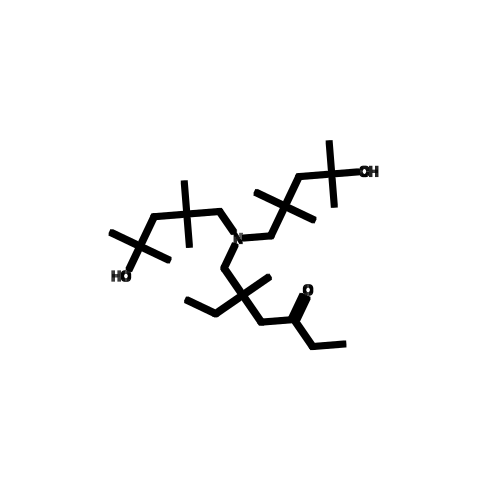 CCC(=O)CC(C)(CC)CN(CC(C)(C)CC(C)(C)O)CC(C)(C)CC(C)(C)O